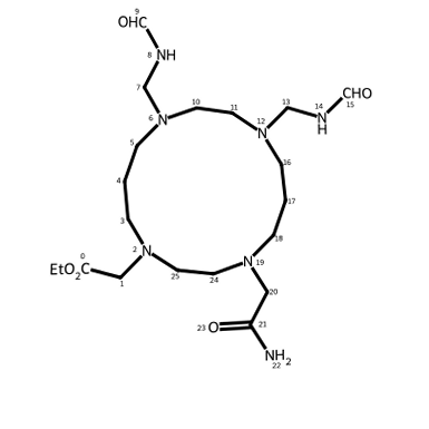 CCOC(=O)CN1CCCN(CNC=O)CCN(CNC=O)CCCN(CC(N)=O)CC1